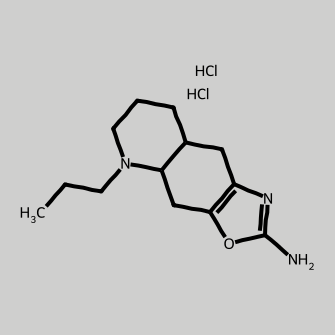 CCCN1CCCC2Cc3nc(N)oc3CC21.Cl.Cl